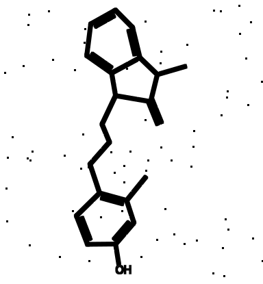 C=C1C(C)c2ccccc2C1CCCc1ccc(O)cc1C